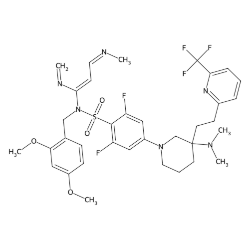 C=N/C(=C\C=N/C)N(Cc1ccc(OC)cc1OC)S(=O)(=O)c1c(F)cc(N2CCCC(CCc3cccc(C(F)(F)F)n3)(N(C)C)C2)cc1F